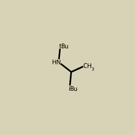 CCC(C)C(C)NC(C)(C)C